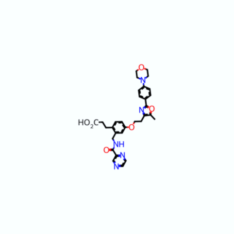 Cc1oc(-c2ccc(N3CCOCC3)cc2)nc1CCOc1ccc(CCC(=O)O)c(CNC(=O)c2cnccn2)c1